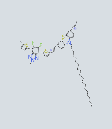 C/C=C/c1ccc2c(c1)SC1C=C(/C=C/c3ccc(-c4c(F)c(F)c(-c5ccc(C)s5)c5nn(C)nc45)s3)C=CC1N2CCCCCCCCCCCCCCCCCCCC